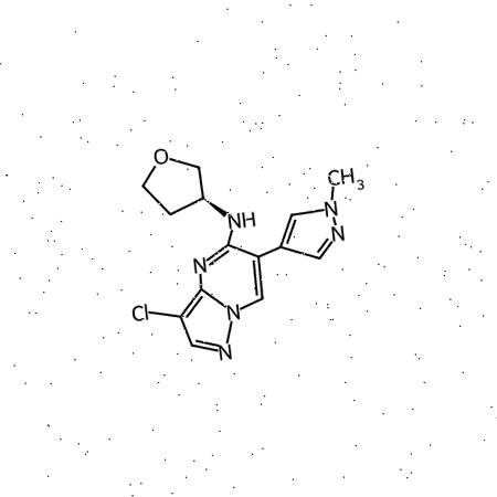 Cn1cc(-c2cn3ncc(Cl)c3nc2N[C@H]2CCOC2)cn1